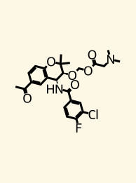 CC(=O)c1ccc2c(c1)[C@@H](NC(=O)c1ccc(F)c(Cl)c1)[C@H](OCOC(=O)CN(C)C)C(C)(C)O2